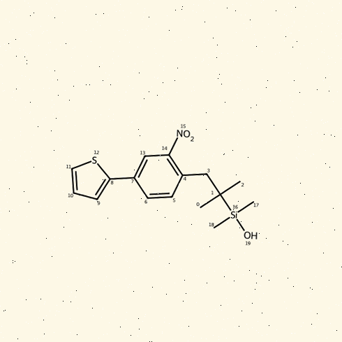 CC(C)(Cc1ccc(-c2cccs2)cc1[N+](=O)[O-])[Si](C)(C)O